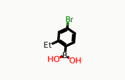 CCc1cc(Br)ccc1B(O)O